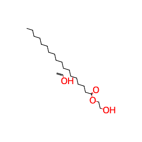 C=CO.CCCCCCCCCCCCCCCCCC(=O)OCCO